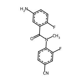 CN(C(=O)c1cc(N)ccc1F)c1ccc(C#N)cc1F